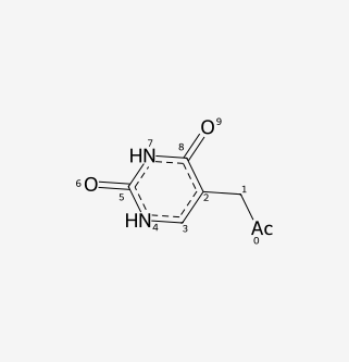 CC(=O)Cc1c[nH]c(=O)[nH]c1=O